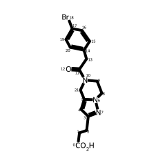 O=C(O)CCc1cc2n(n1)CCN(C(=O)Cc1ccc(Br)cc1)C2